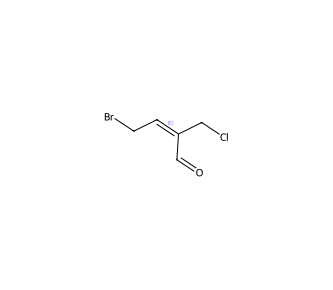 O=C/C(=C\CBr)CCl